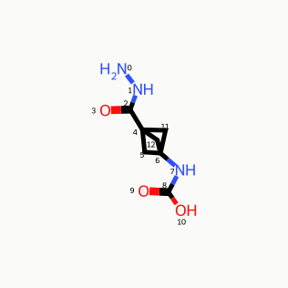 NNC(=O)C12CC(NC(=O)O)(C1)C2